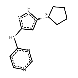 [CH]1CC[C@@H](c2cc(Nc3ccncn3)n[nH]2)C1